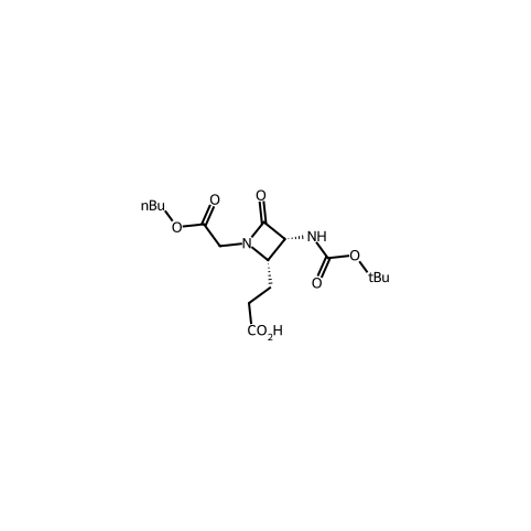 CCCCOC(=O)CN1C(=O)[C@H](NC(=O)OC(C)(C)C)[C@@H]1CCC(=O)O